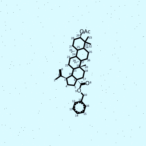 C=C(C)[C@@H]1CC[C@]2(C(=O)OCc3ccccc3)CC[C@]3(C)C(CCC4[C@@]5(C)CC[C@@H](OC(C)=O)C(C)(C)C5CC[C@]43C)C12